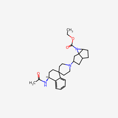 CCOC(=O)N1C2CCC3CC(N4CCC5(CC[C@H](NC(C)=O)c6ccccc65)CC4)CC321